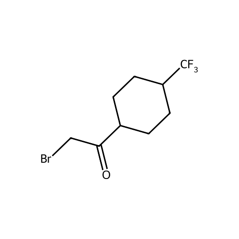 O=C(CBr)C1CCC(C(F)(F)F)CC1